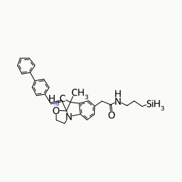 CC1(C)c2cc(CC(=O)NCCC[SiH3])ccc2N2CCOC21/C=C/c1ccc(-c2ccccc2)cc1